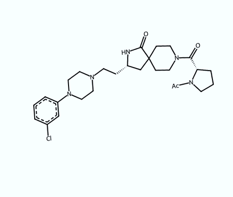 CC(=O)N1CCC[C@H]1C(=O)N1CCC2(CC1)C[C@H](CCN1CCN(c3cccc(Cl)c3)CC1)NC2=O